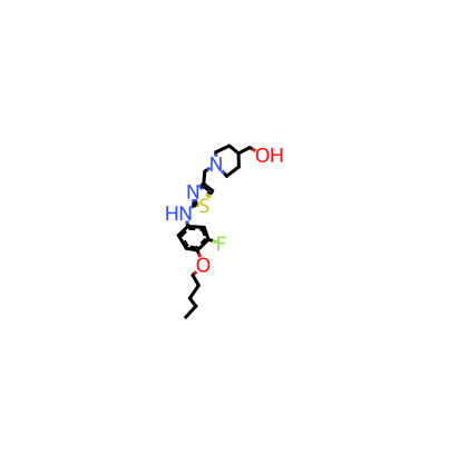 CCCCCOc1ccc(Nc2nc(CN3CCC(CO)CC3)cs2)cc1F